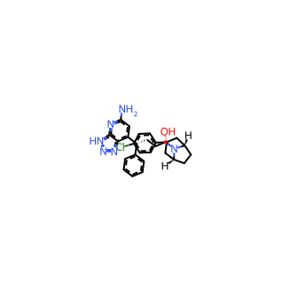 Nc1cc([C@H](CCCN2[C@@H]3CC[C@H]2C[C@](O)(c2ccc(Cl)cc2)C3)c2ccccc2)c2nn[nH]c2n1